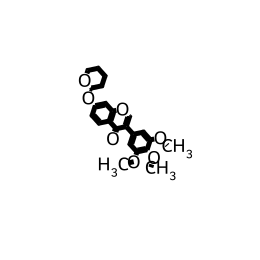 COc1cc(-c2coc3cc(O[C@@H]4CCCCO4)ccc3c2=O)cc(OC)c1OC